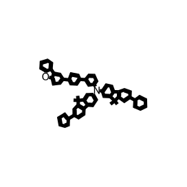 CC1(C)c2cc(-c3ccccc3)ccc2-c2ccc(N(c3cccc(-c4ccc(-c5ccc6oc7ccccc7c6c5)cc4)c3)c3ccc4c(c3)C(C)(C)c3cc(-c5ccccc5)ccc3-4)cc21